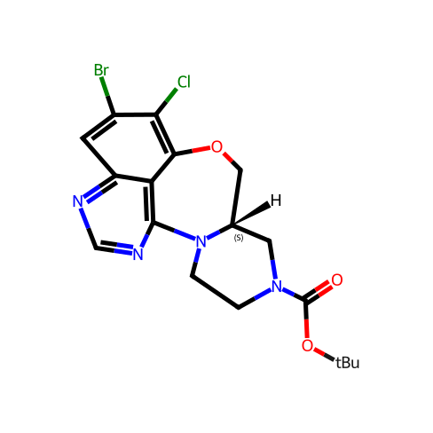 CC(C)(C)OC(=O)N1CCN2c3ncnc4cc(Br)c(Cl)c(c34)OC[C@@H]2C1